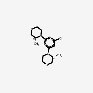 C[C@@H]1COCCN1c1cc(Cl)nc(N2CCOC[C@H]2C)n1